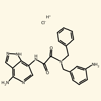 Nc1cccc(CN(Cc2ccccc2)C(=O)C(=O)Nc2cnc(N)c3cn[nH]c23)c1.[Cl-].[H+]